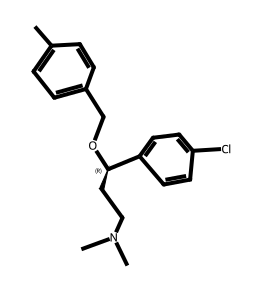 Cc1ccc(CO[C@H](CCN(C)C)c2ccc(Cl)cc2)cc1